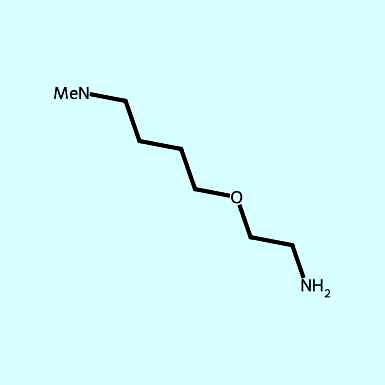 CNCCCCOCCN